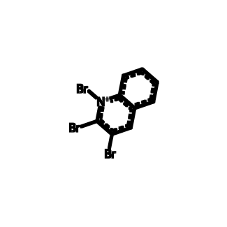 Brc1cc2ccccc2[n+](Br)c1Br